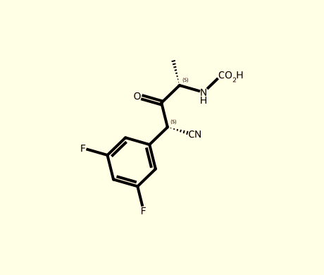 C[C@H](NC(=O)O)C(=O)[C@H](C#N)c1cc(F)cc(F)c1